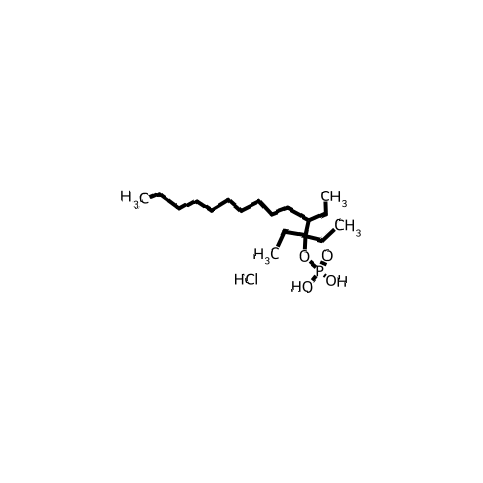 CCCCCCCCCCC(CC)C(CC)(CC)OP(=O)(O)O.Cl